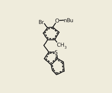 CCCCOc1cc(C)c(Cc2cc3ccccc3s2)cc1Br